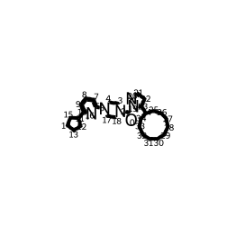 O=C(N1CCN(c2cccc(C3CCCC3)n2)CC1)N1N=CCC1C1CCCCCCCCCC1